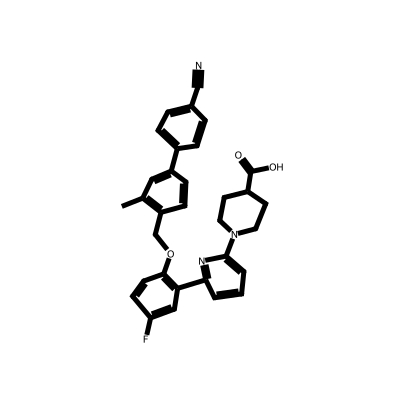 Cc1cc(-c2ccc(C#N)cc2)ccc1COc1ccc(F)cc1-c1cccc(N2CCC(C(=O)O)CC2)n1